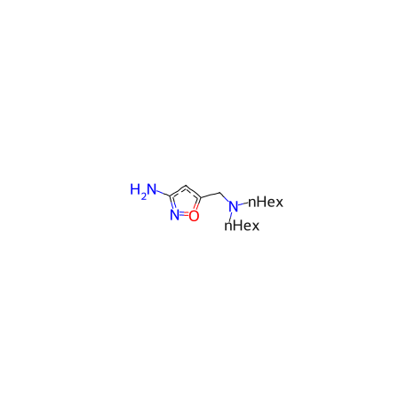 CCCCCCN(CCCCCC)Cc1cc(N)no1